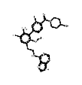 COc1c(CCNc2ncnc3[nH]cnc23)cc(Cl)c(C)c1-c1ccc(C(=O)N2CCC(O)CC2)c(F)c1